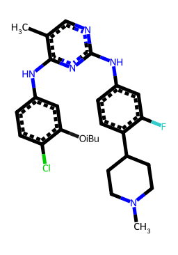 Cc1cnc(Nc2ccc(C3CCN(C)CC3)c(F)c2)nc1Nc1ccc(Cl)c(OCC(C)C)c1